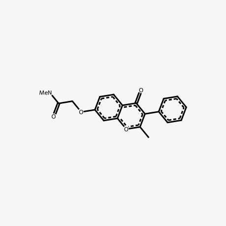 CNC(=O)COc1ccc2c(=O)c(-c3ccccc3)c(C)oc2c1